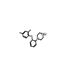 Cc1ccc(SC2C=CC=CC2N2CCNCC2)c(C)c1